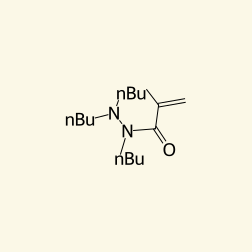 C=C(C)C(=O)N(CCCC)N(CCCC)CCCC